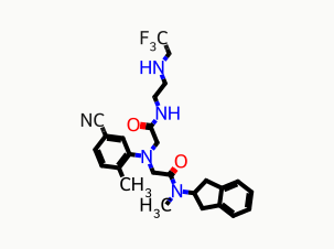 Cc1ccc(C#N)cc1N(CC(=O)NCCNCC(F)(F)F)CC(=O)N(C)C1Cc2ccccc2C1